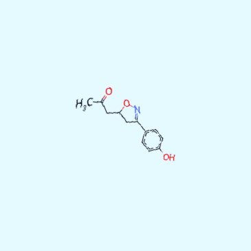 CC(=O)CC1CC(c2ccc(O)cc2)=NO1